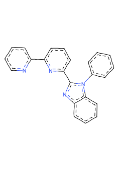 c1ccc(-n2c(-c3cccc(-c4ccccn4)n3)nc3ccccc32)cc1